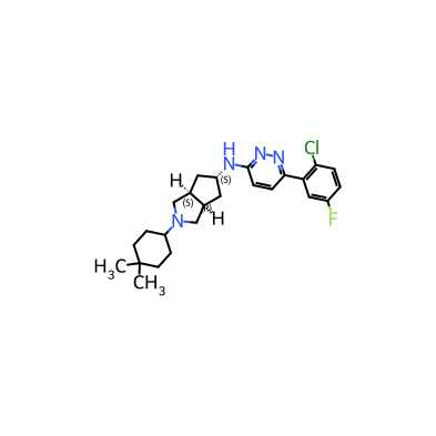 CC1(C)CCC(N2C[C@H]3C[C@H](Nc4ccc(-c5cc(F)ccc5Cl)nn4)C[C@H]3C2)CC1